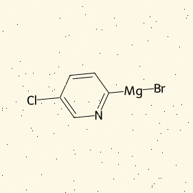 Clc1cc[c]([Mg][Br])nc1